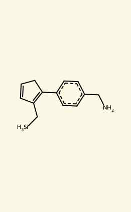 NCc1ccc(C2=C(C[SiH3])C=CC2)cc1